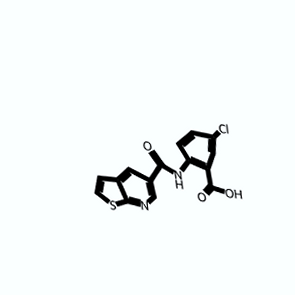 O=C(Nc1ccc(Cl)cc1C(=O)O)c1cnc2sccc2c1